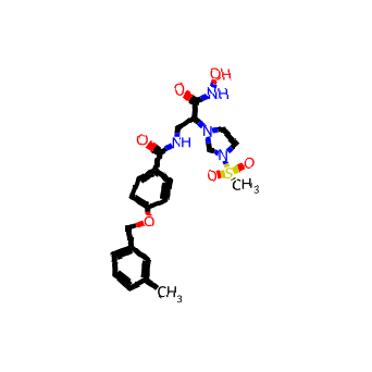 Cc1cccc(COc2ccc(C(=O)NCC(C(=O)NO)N3CCN(S(C)(=O)=O)C3)cc2)c1